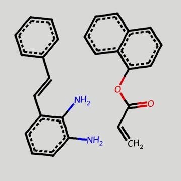 C=CC(=O)Oc1cccc2ccccc12.Nc1cccc(C=Cc2ccccc2)c1N